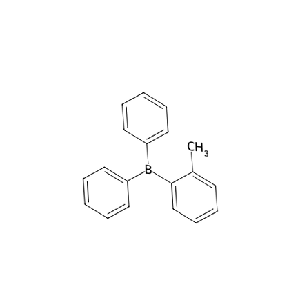 Cc1ccccc1B(c1ccccc1)c1ccccc1